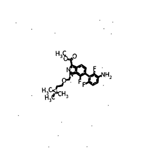 COC(=O)c1nn(COCC[Si](C)(C)C)c2c(F)c(-c3c(F)ccc(N)c3F)ccc12